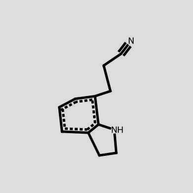 N#CCCc1cccc2c1NCC2